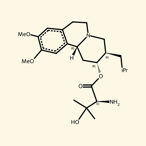 COc1cc2c(cc1OC)[C@H]1C[C@@H](OC(=O)[C@@H](N)C(C)(C)O)[C@H](CC(C)C)CN1CC2